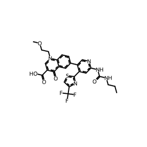 CCCNC(=O)Nc1cc(-c2nc(C(F)(F)F)cs2)c(-c2ccc3c(c2)c(=O)c(C(=O)O)cn3CCOC)cn1